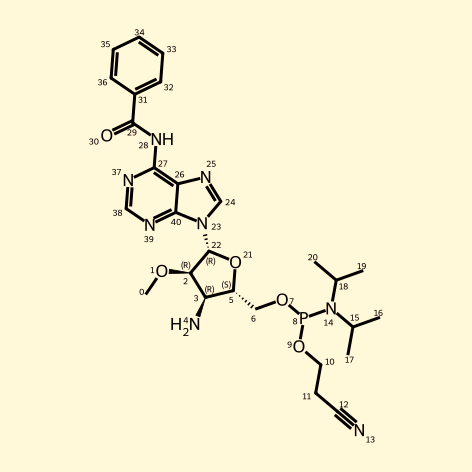 CO[C@@H]1[C@H](N)[C@@H](COP(OCCC#N)N(C(C)C)C(C)C)O[C@H]1n1cnc2c(NC(=O)c3ccccc3)ncnc21